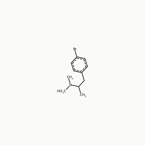 CC(Cc1ccc(Br)cc1)N(C)C(=O)O